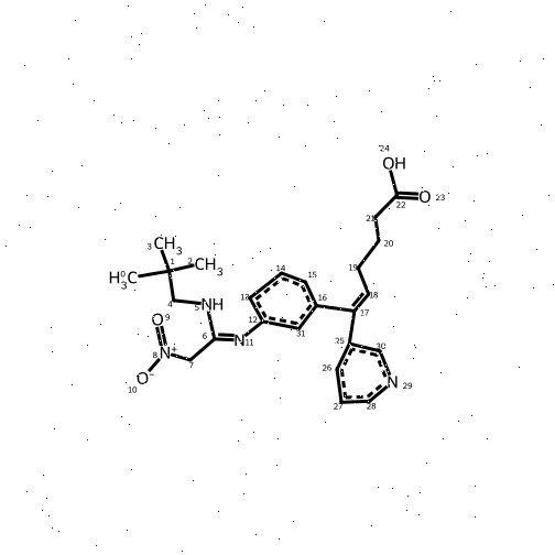 CC(C)(C)CNC(C[N+](=O)[O-])=Nc1cccc(/C(=C\CCCC(=O)O)c2cccnc2)c1